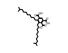 CC(C)CCCCCCCCc1c(C(=O)O)cc(C(=O)O)c(C(=O)O)c1CCCCCCCCC(C)C